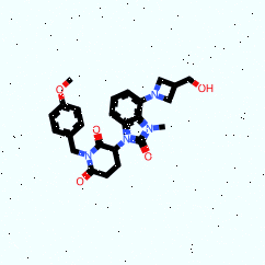 COc1ccc(CN2C(=O)CCC(n3c(=O)n(C)c4c(N5CC(CO)C5)cccc43)C2=O)cc1